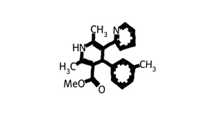 COC(=O)C1=C(C)NC(C)=C(c2ccccn2)C1c1cccc(C)c1